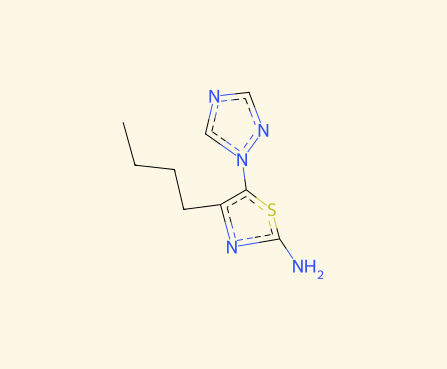 CCCCc1nc(N)sc1-n1cncn1